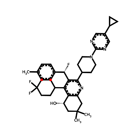 Cc1ccc([C@H](F)c2c(C3CCN(c4ncc(C5CC5)cn4)CC3)nc3c(c2C2CCC(F)(F)CC2)[C@@H](O)CC(C)(C)C3)cc1